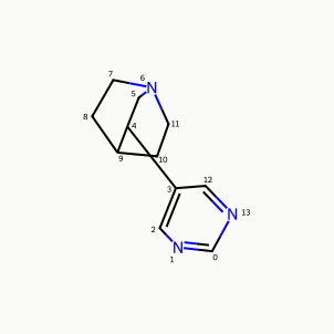 c1ncc(C2CN3CCC2CC3)cn1